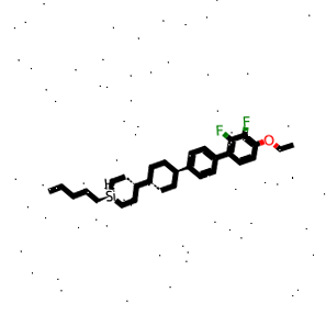 CCCCC[Si@H]1CC[C@H]([C@H]2CC[C@H](c3ccc(-c4ccc(OCC)c(F)c4F)cc3)CC2)CC1